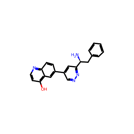 N[C@@H](Cc1ccccc1)c1cc(-c2ccc3nccc(O)c3c2)cnn1